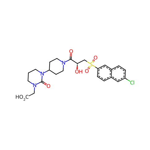 O=C(O)CN1CCCN(C2CCN(C(=O)[C@H](O)CS(=O)(=O)c3ccc4cc(Cl)ccc4c3)CC2)C1=O